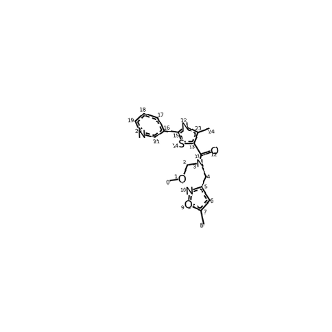 COCN(Cc1cc(C)on1)C(=O)c1sc(-c2cccnc2)nc1C